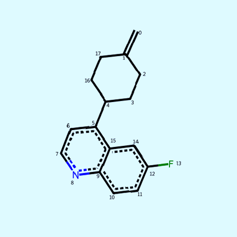 C=C1CCC(c2ccnc3ccc(F)cc23)CC1